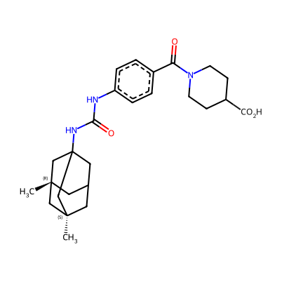 C[C@]12CC3CC(NC(=O)Nc4ccc(C(=O)N5CCC(C(=O)O)CC5)cc4)(C1)C[C@@](C)(C3)C2